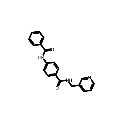 O=C(NCc1cccnc1)c1ccc(NC(=O)c2ccccc2)cc1